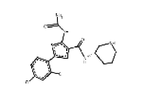 NC(=O)Nc1sc(-c2ccc(Cl)cc2Cl)cc1C(=O)N[C@H]1CCCNC1